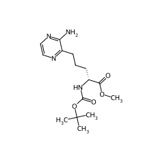 COC(=O)[C@@H](CCCc1nccnc1N)NC(=O)OC(C)(C)C